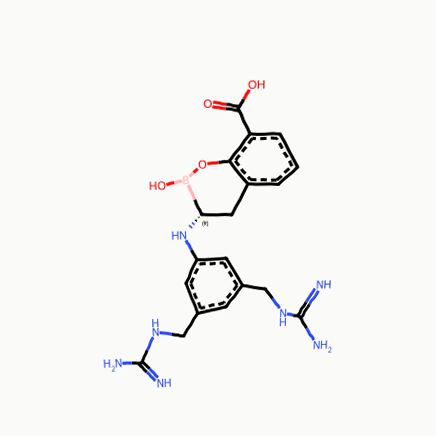 N=C(N)NCc1cc(CNC(=N)N)cc(N[C@H]2Cc3cccc(C(=O)O)c3OB2O)c1